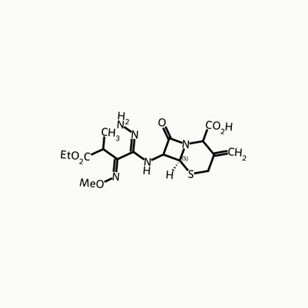 C=C1CS[C@H]2C(NC(=NN)C(=NOC)C(C)C(=O)OCC)C(=O)N2C1C(=O)O